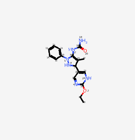 CCOC1N=CC(C2NN(c3ccccc3)C(NC(N)=O)=C2C)=CN1